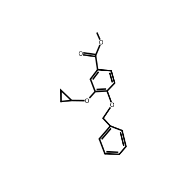 COC(=O)c1ccc(OCc2ccccc2)c(OC2CC2)c1